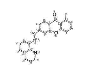 Cc1ccccc1C(=O)c1ccc(SNc2cccc3cccnc23)cc1Cl